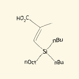 CCCCCCCC[Si](C=C(C)C(=O)O)(CCCC)CCCC